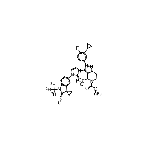 [2H]C([2H])([2H])N1C(=C=O)C2(CC2)c2cc(N3C=CN(c4c5c(nn4-c4ccc(F)c(C6CC6)c4)CCN(C(=O)OCCCC)[C@H]5C)C3=C=O)ccc21